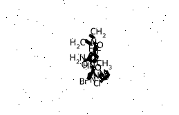 C=CCN(CC=C)C(=O)C(F)(F)c1cc(C)c(NC(=O)c2cc(Br)nn2-c2ncccc2Cl)c(C(N)=O)c1